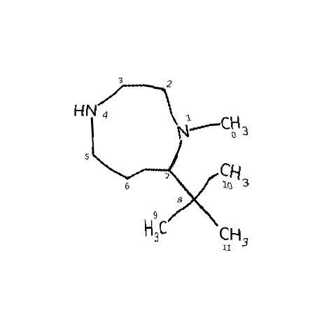 CN1CCNCCC1C(C)(C)C